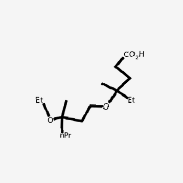 CCCC(C)(CCOC(C)(CC)CCC(=O)O)OCC